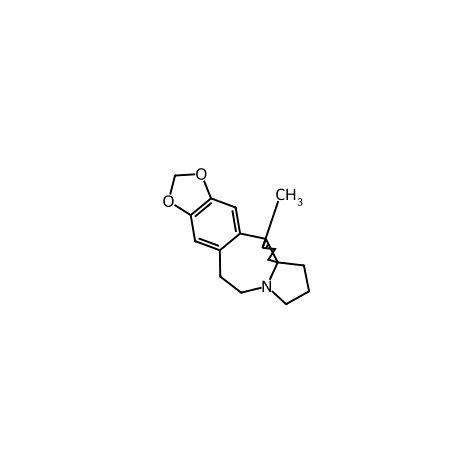 CC1=C2c3cc4c(cc3CCN3CCCC23CC1)OCO4